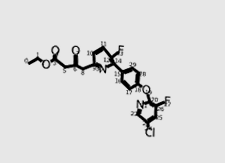 CCOC(=O)CC(=O)Cc1ccc(F)c(-c2ccc(Oc3ncc(Cl)cc3F)cc2)n1